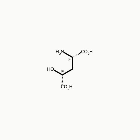 N[C@@H](C[C@@H](O)C(=O)O)C(=O)O